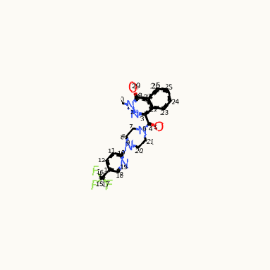 Cn1nc(C(=O)N2CCN(c3ccc(C(F)(F)F)cn3)CC2)c2ccccc2c1=O